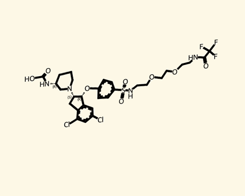 O=C(O)N[C@@H]1CCCN([C@H]2Cc3c(Cl)cc(Cl)cc3[C@H]2Oc2ccc(S(=O)(=O)NCCOCCOCCNC(=O)C(F)(F)F)cc2)C1